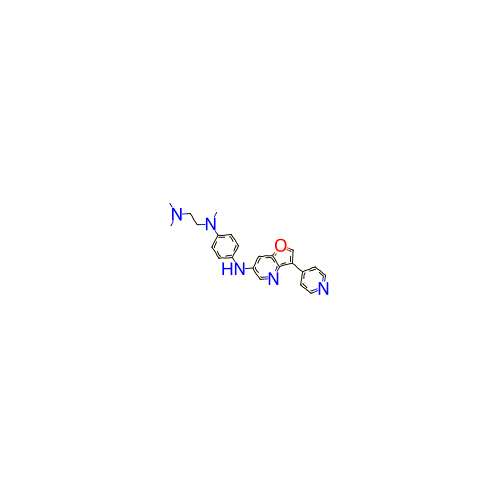 CN(C)CCN(C)c1ccc(Nc2cnc3c(-c4ccncc4)coc3c2)cc1